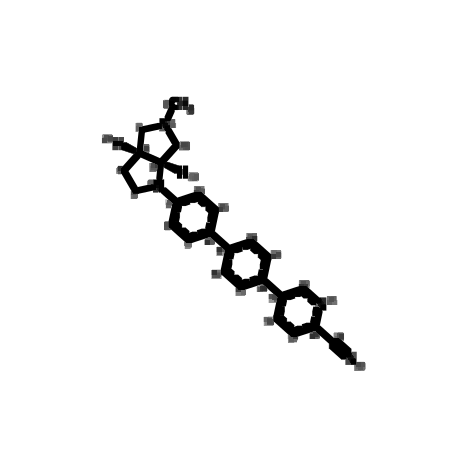 CN1C[C@H]2CCN(c3ccc(-c4ccc(-c5ccc(C#N)nc5)cc4)cc3)[C@H]2C1